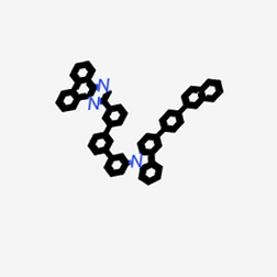 c1cc(-c2cccc(-c3cnc4c5ccccc5c5ccccc5c4n3)c2)cc(-c2cccc(-n3c4ccccc4c4cc(-c5ccc(-c6ccc7ccccc7c6)cc5)ccc43)c2)c1